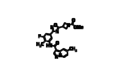 COC(=O)N1CC(c2nc(-c3cc(F)c(C)c(NC(=O)c4cnn5ccc(C)cc45)c3)no2)C1